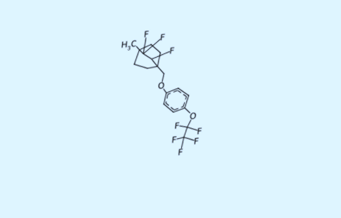 CC12CCC(COc3ccc(OC(F)(F)C(F)(F)F)cc3)(CC1)C(F)C2(F)F